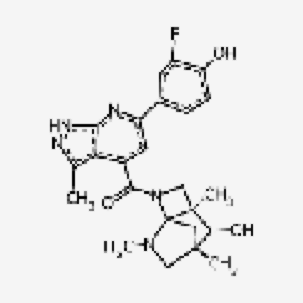 Cc1n[nH]c2nc(-c3ccc(O)c(F)c3)cc(C(=O)N3C[C@@]4(C)C(O)[C@]5(C)CN(C)C34C5)c12